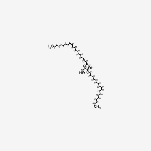 CCCCCCCC/C=C\CCCCCCCCOCC(CO)OC(CO)COCCCCCCCC/C=C\CCCCCCCC